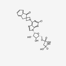 O=C1c2ccccc2CC12CN(c1nc(Cl)nc3c1ncn3[C@@H]1O[C@H](COP(=O)(O)CP(=O)(O)O)C(O)[C@@H]1O)C2